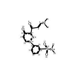 CN(C)/C=C/C(=O)c1nn(-c2cccc(S(=O)(=O)N(C)C)c2)ccc1=O